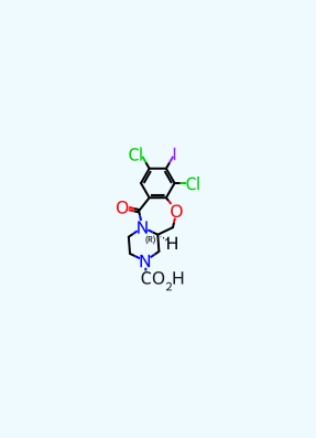 O=C(O)N1CCN2C(=O)c3cc(Cl)c(I)c(Cl)c3OC[C@H]2C1